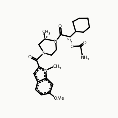 COc1ccc2cc(C(=O)N3CCN(C(=O)[C@@H](OC(N)=O)C4CCCCC4)[C@H](C)C3)n(C)c2c1